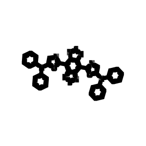 c1ccc(N(c2ccccc2)c2cnc(-c3c4c(c(-c5ncc(N(c6ccccc6)c6ccccc6)o5)c5nsnc35)N=S=N4)o2)cc1